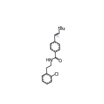 CC(C)(C)/C=C/c1ccc(C(=O)NCCc2ccccc2Cl)cc1